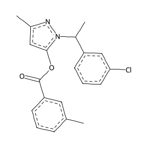 Cc1cccc(C(=O)Oc2cc(C)nn2C(C)c2cccc(Cl)c2)c1